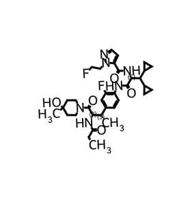 CCC(=O)N[C@@H](C(=O)N1CCC(C)(O)CC1)[C@@H](C)c1ccc(NC(=O)[C@@H](NC(=O)c2ccnn2CCF)C(C2CC2)C2CC2)c(F)c1